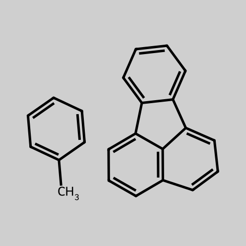 Cc1ccccc1.c1ccc2c(c1)-c1cccc3cccc-2c13